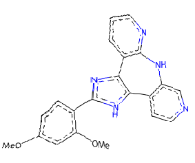 COc1ccc(-c2nc3c([nH]2)-c2ccncc2Nc2ncccc2-3)c(OC)c1